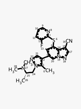 Cc1c(-c2cc(Sc3ncccc3F)c3c(C#N)cnn3c2)cnn1C[C@H](C)N(C)C